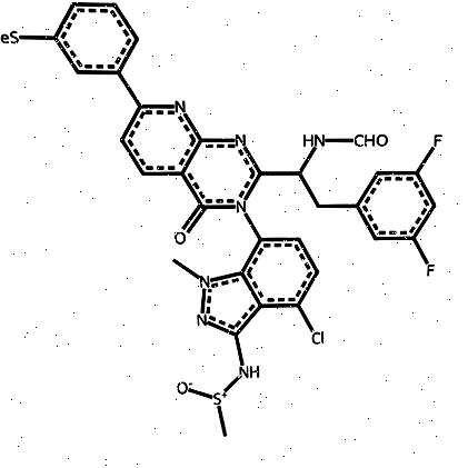 CSc1cccc(-c2ccc3c(=O)n(-c4ccc(Cl)c5c(N[S+](C)[O-])nn(C)c45)c(C(Cc4cc(F)cc(F)c4)NC=O)nc3n2)c1